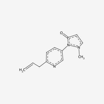 C=CCc1ccc(-n2c(=O)ccn2C)cn1